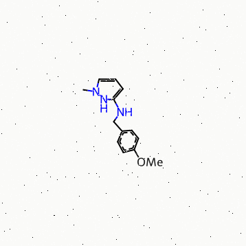 COc1ccc(CNC2=CC=CN(C)N2)cc1